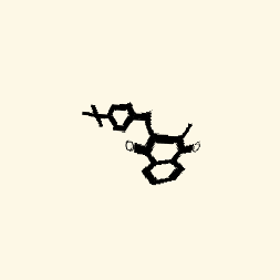 CC1=C(Cc2ccc(C(C)(C)C)cc2)C(=O)C2C=CC=CC2C1=O